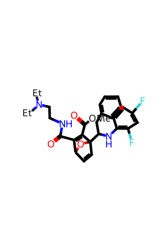 CCN(CC)CCNC(=O)C1=C(C(=O)OC)C2(C(Cc3ccccc3)Nc3ccc(F)cc3F)C=CC1O2